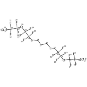 O=S(=O)(O)C(F)(F)C(F)(F)OC(F)(F)C(F)(F)CCCCCCC(F)(F)C(F)(F)OC(F)(F)C(F)(F)S(=O)(=O)O